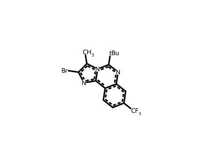 Cc1c(Br)nc2c3ccc(C(F)(F)F)cc3nc(C(C)(C)C)n12